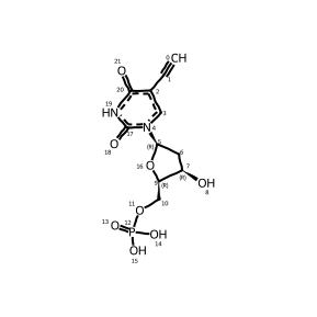 C#Cc1cn([C@H]2C[C@@H](O)[C@@H](COP(=O)(O)O)O2)c(=O)[nH]c1=O